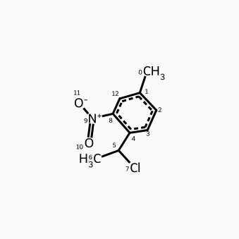 Cc1ccc(C(C)Cl)c([N+](=O)[O-])c1